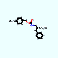 CCOC(=O)[C@@H](CNC(=O)OCc1ccc(OC)cc1)Cc1ccccc1